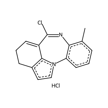 Cc1cccc2c1N=C(Cl)C1=CCCc3ccn-2c31.Cl